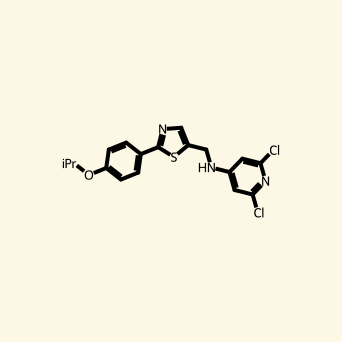 CC(C)Oc1ccc(-c2ncc(CNc3cc(Cl)nc(Cl)c3)s2)cc1